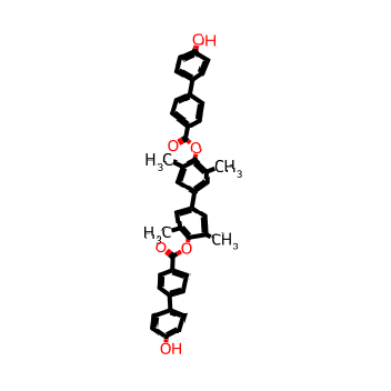 Cc1cc(-c2cc(C)c(OC(=O)c3ccc(-c4ccc(O)cc4)cc3)c(C)c2)cc(C)c1OC(=O)c1ccc(-c2ccc(O)cc2)cc1